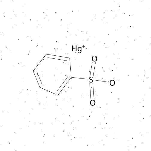 O=S(=O)([O-])c1ccccc1.[Hg+]